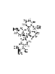 CCN(CC)C(=O)c1ccc(C(c2cccc(N(CC)c3ccccc3)c2)N2CCNCC2)cc1